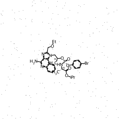 CCOCc1nc2c(N)nc3ccccc3c2n1C[C@H](C)OP(=O)(N[C@@H](C)C(=O)OC(C)C)Oc1ccc(Br)cc1